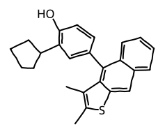 Cc1sc2cc3ccccc3c(-c3ccc(O)c(C4CCCC4)c3)c2c1C